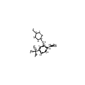 CC1CCC(Sc2cc(C(F)(F)F)ccc2C#N)CC1